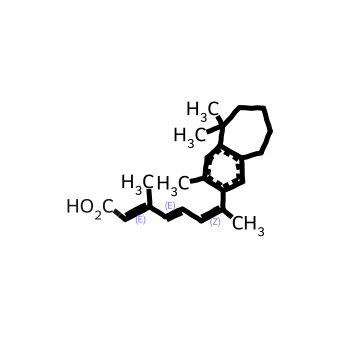 C/C(=C/C=C/C(C)=C/C(=O)O)c1cc2c(cc1C)C(C)(C)CCCC2